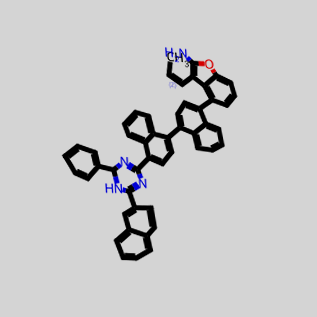 C/C=C\c1c(N)oc2cccc(-c3ccc(-c4ccc(C5=NC(c6ccccc6)NC(c6ccc7ccccc7c6)=N5)c5ccccc45)c4ccccc34)c12